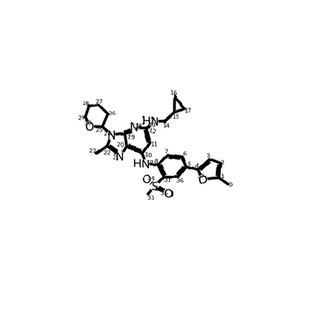 Cc1ccc(-c2ccc(Nc3cc(NCC4CC4)nc4c3nc(C)n4C3CCCCO3)c(S(C)(=O)=O)c2)o1